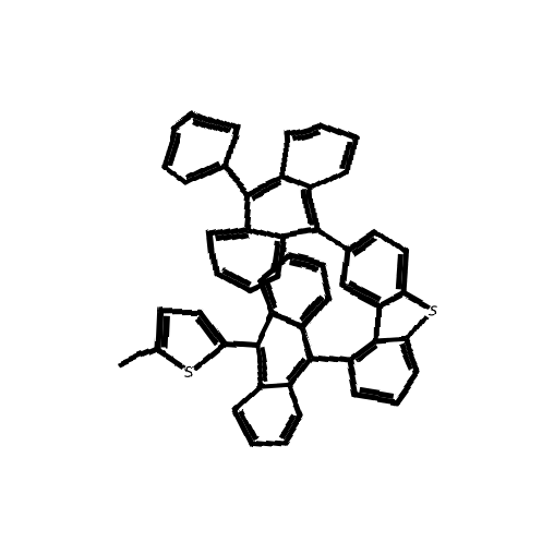 Cc1ccc(-c2c3ccccc3c(-c3cccc4sc5ccc(-c6c7ccccc7c(-c7ccccc7)c7ccccc67)cc5c34)c3ccccc23)s1